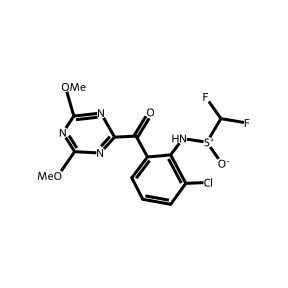 COc1nc(OC)nc(C(=O)c2cccc(Cl)c2N[S+]([O-])C(F)F)n1